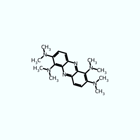 CN(C)c1ccc2nc3c(N(C)C)c(N(C)C)ccc3nc2c1N(C)C